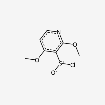 COc1ccnc(OC)c1[S+]([O-])Cl